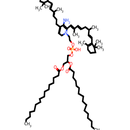 CCCCCCCCCCCCCCCC(=O)OCC(COP(=O)(O)OCCN1CC=C(CC/C=C(C)/C=C/C2=C(C)CCCC2(C)C)C(N)=C1/C=C(C)/C=C/CC(C)/C=C/C1=C(C)CCCC1(C)C)OC(=O)CCCCCCCCCCCCCCC